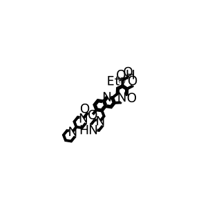 CC[C@@]1(O)C(=O)OCc2c1cc1n(c2=O)Cc2cc3c(CN4CCNCC4)c(OC(=O)N4CCC(N5CCCCC5)CC4)ccc3nc2-1